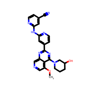 COc1cncc2nc(-c3ccnc(Nc4cc(C#N)ccn4)c3)nc(N3CCCC(O)C3)c12